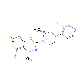 CC(NC(=O)N1CCN(c2ccncc2F)C[C@H]1C)c1ccc(F)cc1Cl